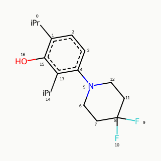 CC(C)c1ccc(N2CCC(F)(F)CC2)c(C(C)C)c1O